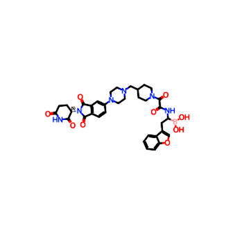 O=C1CC[C@H](N2C(=O)c3ccc(N4CCN(CC5CCN(C(=O)C(=O)NC(Cc6coc7ccccc67)B(O)O)CC5)CC4)cc3C2=O)C(=O)N1